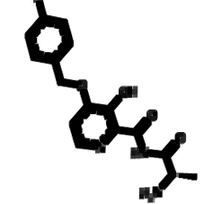 C[C@H](N)C(=O)NC(=O)c1nccc(OCc2ccc(F)cc2)c1O